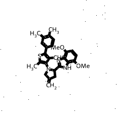 C=C1CC(c2nc3c(OC)ccc(OC)c3[nH]2)N(c2c(C)sc(-c3ccc(C)c(C)c3)c2C=O)C1